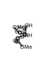 COCCCN1CCOc2ccc(CO[C@H]3CNC[C@@H](OC[C@H](O)CO)[C@@H]3c3ccc(OCCOC)cc3)cc21